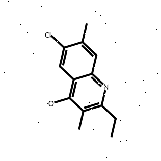 CCc1nc2cc(C)c(Cl)cc2c([O])c1C